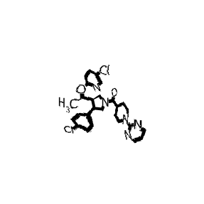 C[C@H](Oc1ccc(Cl)cn1)[C@H]1CN(C(=O)C2CCN(c3ncccn3)CC2)CC1c1ccc(Cl)cc1